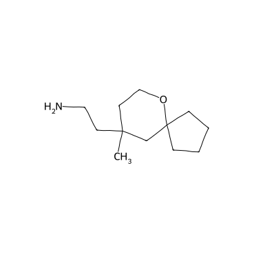 CC1(CCN)CCOC2(CCCC2)C1